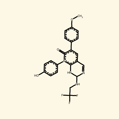 COc1ccc(-c2cc3c(n(-c4ccc(O)cc4)c2=O)NC(NCC(F)(F)F)N=C3)cc1